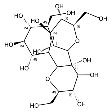 OC[C@H]1OC(C2O[C@H](CO)[C@@H](O)[C](O)[C@]2(O)C2O[C@H](CO)[C@@H](O)[C@H](O)[C@H]2O)[C@H](O)[C@@H](O)[C@@H]1O